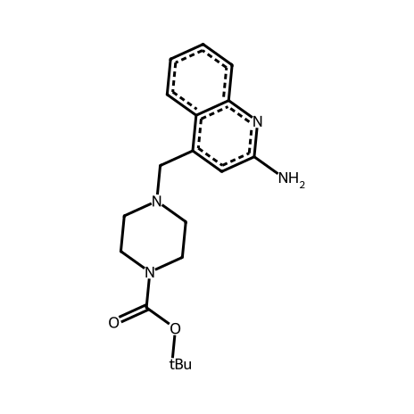 CC(C)(C)OC(=O)N1CCN(Cc2cc(N)nc3ccccc23)CC1